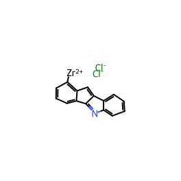 [Cl-].[Cl-].[Zr+2][c]1cccc2c1C=C1C2=Nc2ccccc21